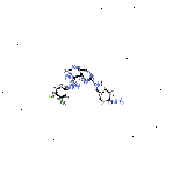 NC1CCC(CNc2ncc3ncnc(Nc4ccc(F)c(Cl)c4)c3n2)CC1